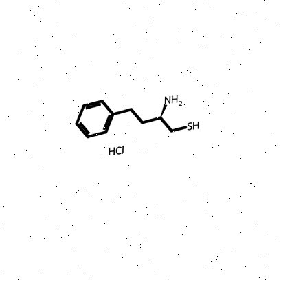 Cl.N[C@@H](CS)CCc1ccccc1